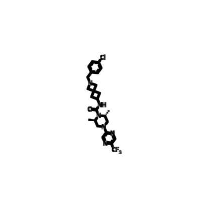 C[C@@H]1CN(c2cnc(C(F)(F)F)cn2)C[C@@H](C)N1C(=O)NC1CC2(C1)CN(Cc1ccc(Cl)cc1)C2